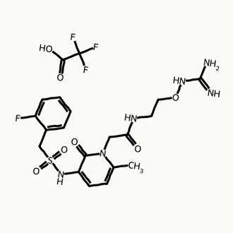 Cc1ccc(NS(=O)(=O)Cc2ccccc2F)c(=O)n1CC(=O)NCCONC(=N)N.O=C(O)C(F)(F)F